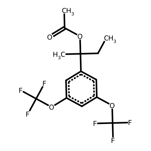 CCC(C)(OC(C)=O)c1cc(OC(F)(F)F)cc(OC(F)(F)F)c1